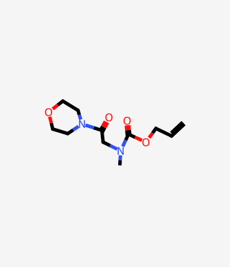 C=CCOC(=O)N(C)CC(=O)N1CCOCC1